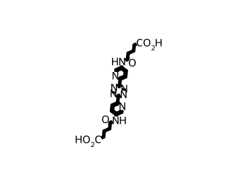 O=C(O)CCCC(=O)Nc1ccc(-c2nnc(-c3ccc(NC(=O)CCCC(=O)O)cn3)nn2)nc1